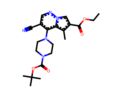 CCOC(=O)c1cn2ncc(C#N)c(N3CCN(C(=O)OC(C)(C)C)CC3)c2c1C